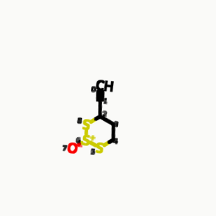 C#CC1CCS[S+]([O-])S1